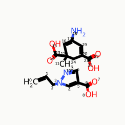 C=CCn1cc(C(=O)O)cn1.CC1(C(=O)O)C=C(N)C=C(C(=O)O)C1